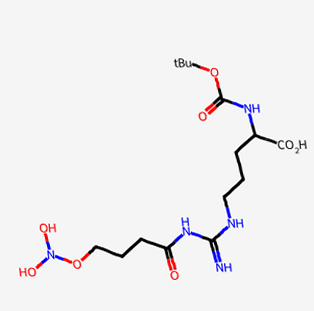 CC(C)(C)OC(=O)NC(CCCNC(=N)NC(=O)CCCON(O)O)C(=O)O